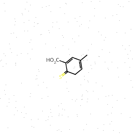 CC1=CCC(=S)C(C(=O)O)=C1